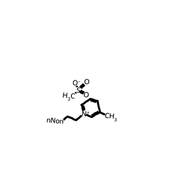 CCCCCCCCCCC[n+]1cccc(C)c1.CS(=O)(=O)[O-]